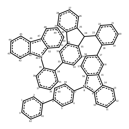 c1ccc(-c2ccc(-n3c4ccccc4c4cc(-c5ccccc5C5c6ccccc6-c6cc(-c7ccccc7-n7c8ccccc8c8ccccc87)ccc65)ccc43)cc2)cc1